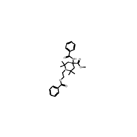 COC(=O)C1(NC(=O)c2ccccc2)CC(C)(C)N(CCOC(=O)c2ccccc2)C(C)(C)C1